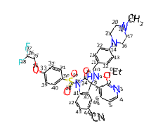 CCOc1ncccc1C1(NCc2ccc(N3CCN(C)CC3)cc2)C(=O)N(S(=O)(=O)c2ccc(OCC(F)F)cc2)c2ccc(C#N)cc21